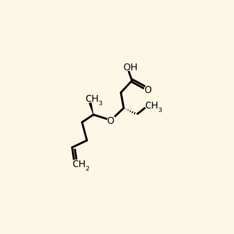 C=CCC[C@@H](C)O[C@@H](CC)CC(=O)O